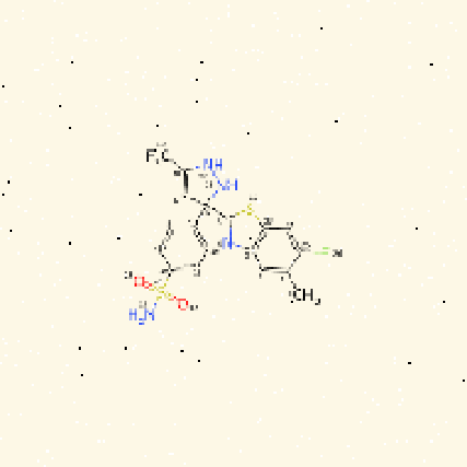 Cc1cc2nc(C3(c4ccc(S(N)(=O)=O)cc4)C=C(C(F)(F)F)NN3)sc2cc1F